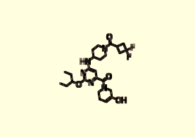 CCC(CC)Oc1nc(NC2CCN(C(=O)C3CC(F)(F)C3)CC2)cc(C(=O)N2CCC=C(O)C2)n1